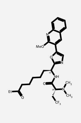 CCC(=O)CCCCC[C@H](NC(=O)[C@@H](CC(F)(F)F)N(C)C)c1ncc(-c2cc3ccccc3nc2OC)o1